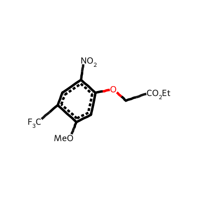 CCOC(=O)COc1cc(OC)c(C(F)(F)F)cc1[N+](=O)[O-]